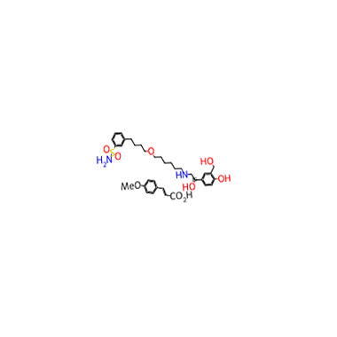 COc1ccc(C=CC(=O)O)cc1.NS(=O)(=O)c1cccc(CCCCOCCCCCCNC[C@H](O)c2ccc(O)c(CO)c2)c1